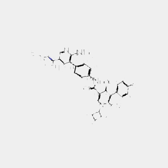 CCN/C=C(\C)c1cnc(N)c(-c2ccc(NC(=O)c3cn(C4CCC4)c(C#N)c(-c4ccc(F)cc4)c3=O)cc2)c1